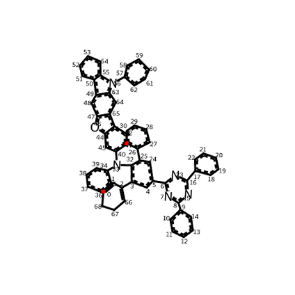 C1=CC(c2cc(-c3nc(-c4ccccc4)nc(-c4ccccc4)n3)cc(-c3ccccc3)c2N(c2ccccc2)c2ccc3c(c2)oc2cc4c5ccccc5n(-c5ccccc5)c4cc23)=CCC1